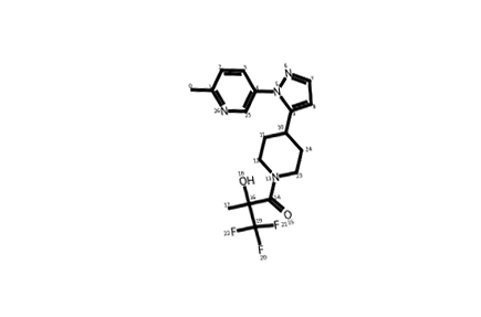 Cc1ccc(-n2nccc2C2CCN(C(=O)C(C)(O)C(F)(F)F)CC2)cn1